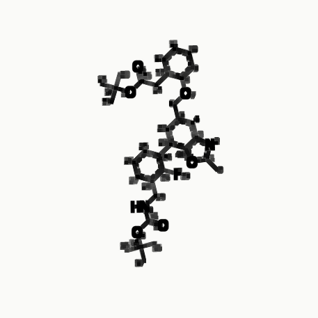 Cc1nc2cc(COc3ccccc3CC(=O)OC(C)(C)C)cc(-c3cccc(CNC(=O)OC(C)(C)C)c3F)c2o1